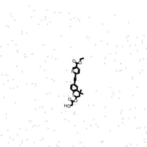 CCOC(=O)c1ccc(C#Cc2ccc3c(c2)C(C)(C)CC(OC(=O)CO)S3)nc1